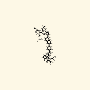 C=C(COC(F)F)[C@H](NC(=O)OC)C(=O)N1CC2(CC2)C[C@H]1c1ncc(-c2ccc3cc(-c4ccc(-c5cnc(C6(C)[C@H]7CC[C@H](C7)N6C(=O)[C@@H](NC(=O)OC)C(C)C)[nH]5)cc4)ccc3c2)[nH]1